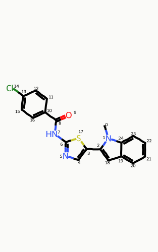 Cn1c(-c2cnc(NC(=O)c3ccc(Cl)cc3)s2)cc2ccccc21